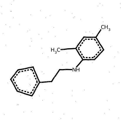 Cc1ccc(NCCc2ccccc2)c(C)c1